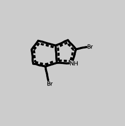 Brc1cc2cccc(Br)c2[nH]1